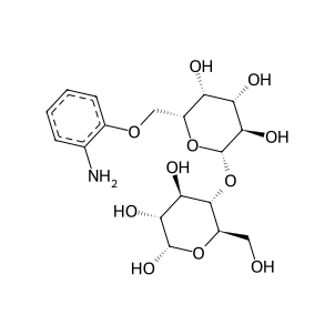 Nc1ccccc1OC[C@H]1O[C@@H](O[C@H]2[C@H](O)[C@@H](O)[C@@H](O)O[C@@H]2CO)[C@H](O)[C@@H](O)[C@H]1O